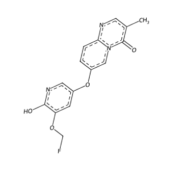 Cc1cnc2ccc(Oc3cnc(O)c(OCF)c3)cn2c1=O